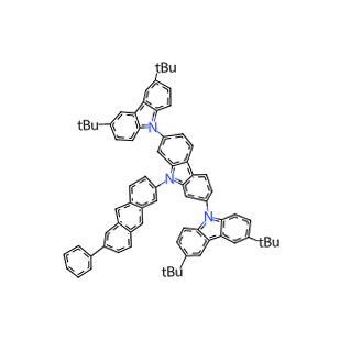 CC(C)(C)c1ccc2c(c1)c1cc(C(C)(C)C)ccc1n2-c1ccc2c3ccc(-n4c5ccc(C(C)(C)C)cc5c5cc(C(C)(C)C)ccc54)cc3n(-c3ccc4cc5cc(-c6ccccc6)ccc5cc4c3)c2c1